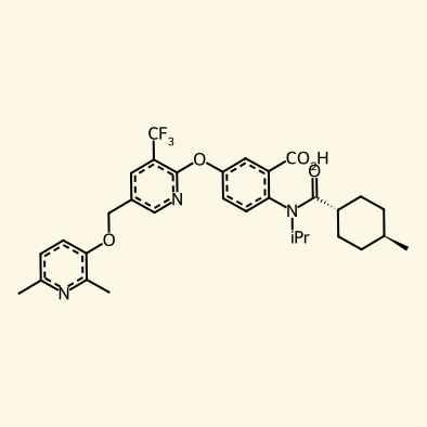 Cc1ccc(OCc2cnc(Oc3ccc(N(C(=O)[C@H]4CC[C@H](C)CC4)C(C)C)c(C(=O)O)c3)c(C(F)(F)F)c2)c(C)n1